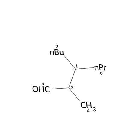 [CH2]CCC(CCCC)C(C)C=O